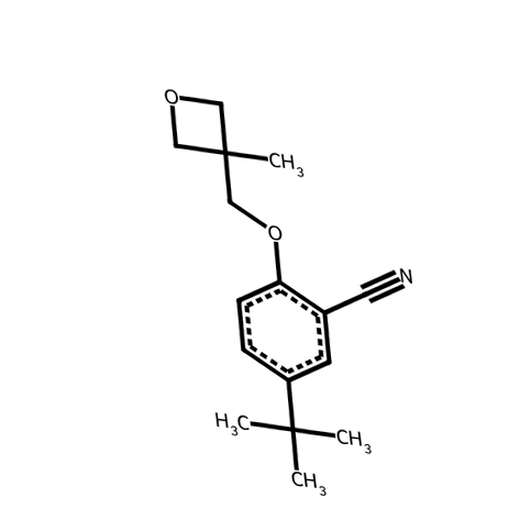 CC1(COc2ccc(C(C)(C)C)cc2C#N)COC1